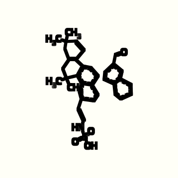 CC1(C)C=CC2=C(C1)CC(C)(C)c1c2ccc2ccc(/C=C/NS(=O)(=O)O)cc12.O=Cc1ccc2ccccc2c1